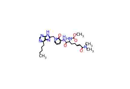 CCCCCc1ncnc2[nH]c(Cn3cccc(NC(=O)C(CC/C=C/C(=O)N(C)C)NC(=O)OC)c3=O)nc12